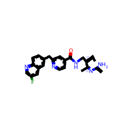 C=C(N)/N=C(C)\C(=C/C)CNC(=O)c1ccnc(Cc2ccc3ncc(F)cc3c2)c1